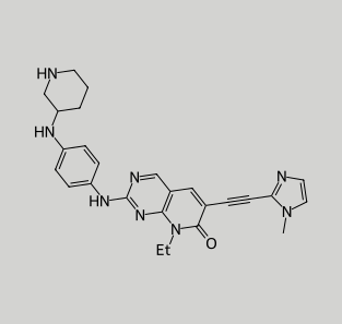 CCn1c(=O)c(C#Cc2nccn2C)cc2cnc(Nc3ccc(NC4CCCNC4)cc3)nc21